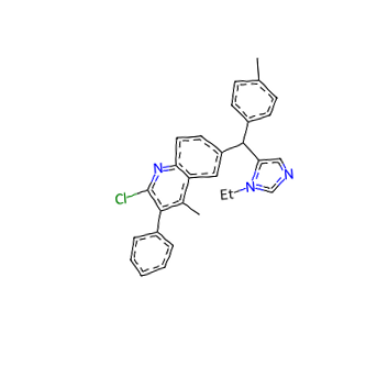 CCn1cncc1C(c1ccc(C)cc1)c1ccc2nc(Cl)c(-c3ccccc3)c(C)c2c1